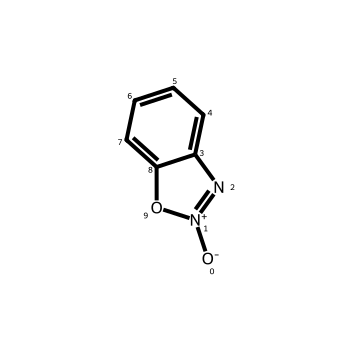 [O-][n+]1nc2ccccc2o1